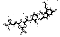 CCCc1cc(F)cc2cc(Cn3ccnc(NC(=O)[C@H](CC/C=C/C(=O)N(C)C)OC(=O)N(C)C)c3=O)n(C)c12